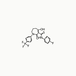 O=C1C(C(=S)Nc2ccc(F)cc2)=C(O)CCCN1c1ccc(C(F)(F)F)cc1